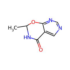 CC1NC(=O)c2cncnc2O1